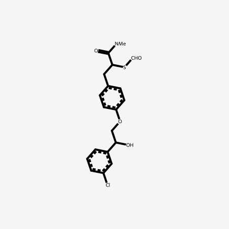 CNC(=O)C(Cc1ccc(OCC(O)c2cccc(Cl)c2)cc1)SC=O